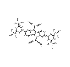 N#CC(C#N)=C1C2=C(C(=C(C#N)C#N)c3cc(-c4cc(C(F)(F)F)cc(C(F)(F)F)c4)ccc32)c2ccc(-c3cc(C(F)(F)F)cc(C(F)(F)F)c3)cc21